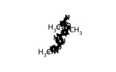 CC(=O)c1ccc(-c2cnn3cc(Oc4ccc(C)nn4)cnc23)cc1-n1nc(C#N)cc1C